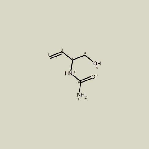 C=CC(CO)NC(N)=O